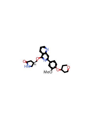 COc1cc(-c2cc3ncccc3c(OC[C@H]3CNC(=O)C3)n2)ccc1OC1CCOCC1